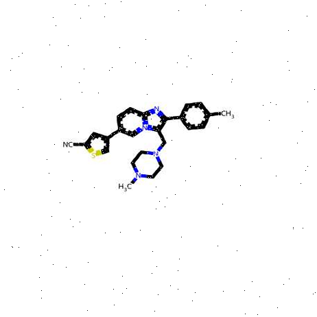 Cc1ccc(-c2nc3ccc(-c4csc(C#N)c4)cn3c2CN2CCN(C)CC2)cc1